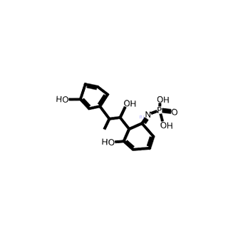 CC(c1cccc(O)c1)C(O)C1C(O)=CC=C/C1=N\P(=O)(O)O